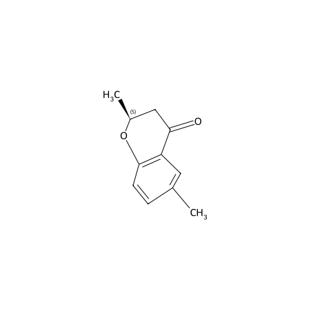 Cc1ccc2c(c1)C(=O)C[C@H](C)O2